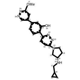 COc1cc(-c2ccc(-c3ccc(N4CC[C@H](NCC5CC5)C4)nn3)c(O)c2)cnn1